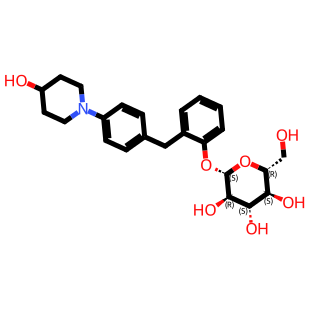 OC[C@H]1O[C@@H](Oc2ccccc2Cc2ccc(N3CCC(O)CC3)cc2)[C@H](O)[C@@H](O)[C@@H]1O